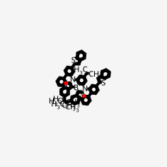 CC(C)c1cc2c3c(c1)N(c1cc(-c4cc5ccccc5s4)ccc1-c1ccccc1)c1sc4ccc(C(C)(C)C)cc4c1B3c1c(sc3ccc(C(C)(C)C)cc13)N2c1cc(-c2cc3ccccc3s2)ccc1-c1ccccc1